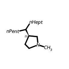 CCCCCCCC(CCCCC)[C@@H]1CCN(C)C1